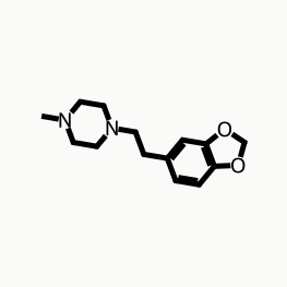 CN1CCN(CCc2ccc3c(c2)OCO3)CC1